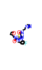 O=C(NCCCn1ccnc1)c1cnc(N(Cc2ccc(F)cc2)C(=O)NCC2CCCO2)s1